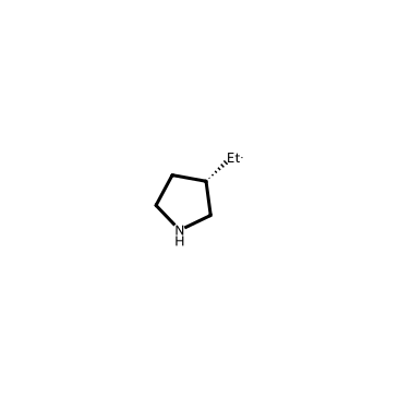 C[CH][C@H]1CCNC1